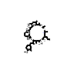 C=CCC1/C=C(\C)CC(C)CC(C)C2OC(O)(C(=O)C(=O)N3CCCCC3C(=O)OC(/C(C)=C/C3CCC(O)C(C)C3)C(C)C(O)CC1=O)C(C)CC2C